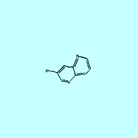 CC(C)c1cnc2cccnc2c1